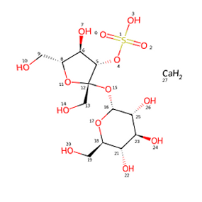 O=S(=O)(O)O[C@H]1[C@H](O)[C@@H](CO)O[C@@]1(CO)O[C@H]1O[C@H](CO)[C@@H](O)[C@H](O)[C@H]1O.[CaH2]